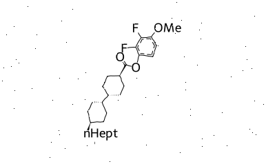 CCCCCCC[C@H]1CC[C@H]([C@H]2CC[C@H](C(=O)Oc3ccc(OC)c(F)c3F)CC2)CC1